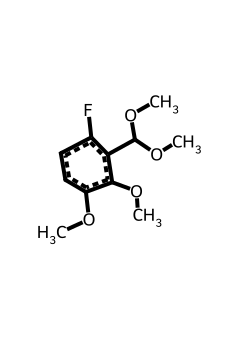 COc1ccc(F)c(C(OC)OC)c1OC